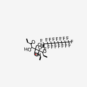 C=CC(=O)C(O)C(CO)(CO)C(OC(F)=C(F)C(F)(F)C(F)(F)C(F)(F)C(F)(F)C(F)(F)C(F)(F)C(F)(F)F)(C(=O)C=C)C(=O)C=C